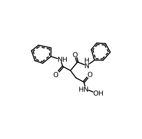 O=C(CC(C(=O)Nc1ccccc1)C(=O)Nc1ccccc1)NO